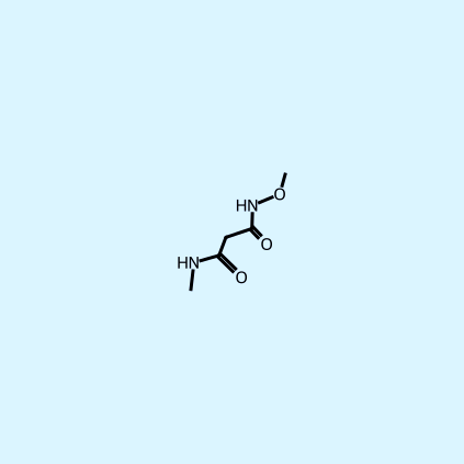 CNC(=O)CC(=O)NOC